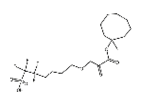 C=C(COCCCCC(F)(F)C(F)(F)S(=O)(=O)O)C(=O)OC1(C)CCCCCCC1